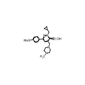 CSc1ccc(-c2cc(CN3CCN(C)CC3)c(=O)n(CC3CC3)n2)cc1.Cl.Cl